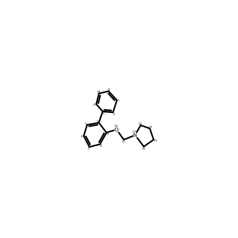 c1ccc(-c2ccccc2OCN2CCCC2)cc1